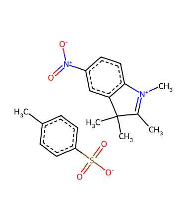 CC1=[N+](C)c2ccc([N+](=O)[O-])cc2C1(C)C.Cc1ccc(S(=O)(=O)[O-])cc1